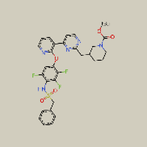 CC(C)(C)OC(=O)N1CCCC(Cc2nccc(-c3cccnc3Oc3cc(F)c(NS(=O)(=O)Cc4ccccc4)c(F)c3F)n2)C1